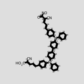 N#C/C(=C\C=C\c1ccc(N(c2ccccc2)c2ccc(-c3ccc(N(c4ccccc4)c4ccc(/C=C/C=C(\C#N)C(=O)N=O)cc4)cc3)cc2)cc1)C(=O)O